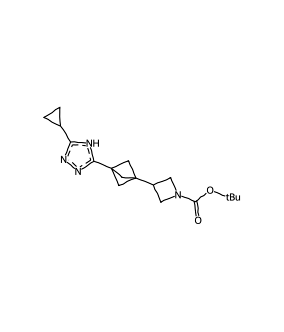 CC(C)(C)OC(=O)N1CC(C23CC(c4nnc(C5CC5)[nH]4)(C2)C3)C1